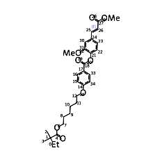 CCC(C)(C)C(=O)OCCCCCCOc1ccc(C(=O)Oc2ccc(/C=C/C(=O)OC)cc2OC)cc1